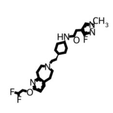 Cn1cc(CC(=O)N[C@H]2CC[C@H](CCN3CCc4ccc(OCC(F)F)nc4CC3)CC2)c(F)n1